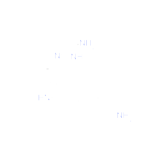 CC(NNN)C(=N)CCCCN